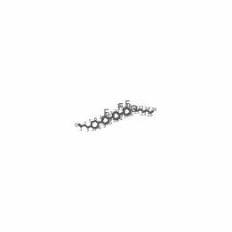 C=CCCC1CCC(c2ccc(-c3ccc(-c4ccc(OCCCCCC)c(F)c4F)cc3)c(F)c2)CC1